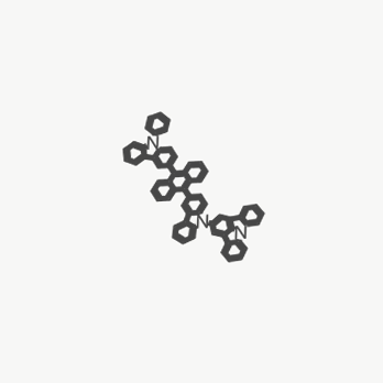 c1ccc(-n2c3ccccc3c3cc(-c4c5ccccc5c(-c5ccc6c(c5)c5ccccc5n6-c5cc6c7ccccc7n7c8ccccc8c(c5)c67)c5ccccc45)ccc32)cc1